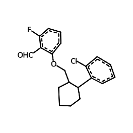 O=Cc1c(F)cccc1OCC1CCCCC1c1ccccc1Cl